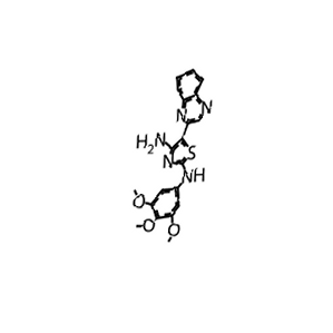 COc1cc(Nc2nc(N)c(-c3cnc4ccccc4n3)s2)cc(OC)c1OC